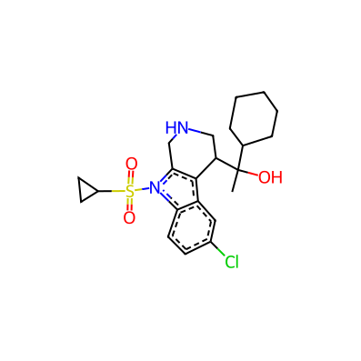 CC(O)(C1CCCCC1)C1CNCc2c1c1cc(Cl)ccc1n2S(=O)(=O)C1CC1